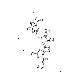 CCOC(=O)C(OC[C@H]1C[C@@H](n2nnc3c(NC4CCOC4)nc(Cl)nc32)[C@H](O)[C@@H]1O)P(=O)(O)O